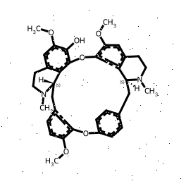 COc1ccc2cc1Oc1ccc(cc1)C[C@H]1c3cc(c(OC)cc3CCN1C)Oc1c(O)c(OC)cc3c1[C@H](C2)N(C)CC3